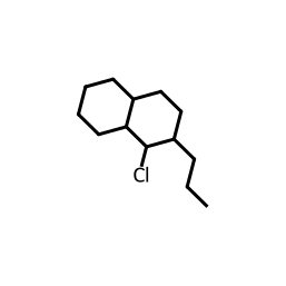 CCCC1CCC2CCCCC2C1Cl